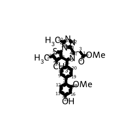 COC(=O)C[C@@H]1N=C(c2ccc(-c3ccc(O)cc3OC)cc2)c2c(sc(C)c2C)-n2c(C)nnc21